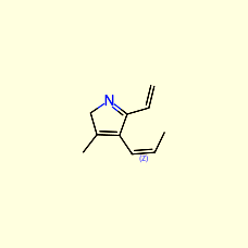 C=CC1=NCC(C)=C1/C=C\C